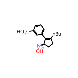 CCCCC1=C(c2cccc(C(=O)O)c2)/C(=N/O)CC1